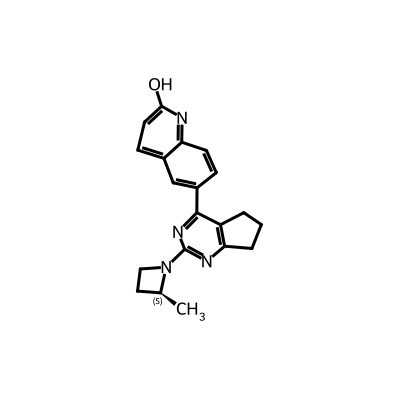 C[C@H]1CCN1c1nc2c(c(-c3ccc4nc(O)ccc4c3)n1)CCC2